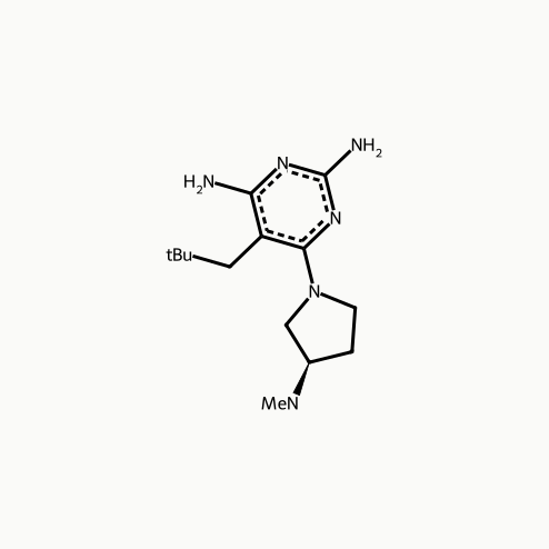 CN[C@@H]1CCN(c2nc(N)nc(N)c2CC(C)(C)C)C1